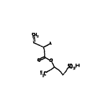 C=CC(I)C(=O)OC(CS(=O)(=O)O)C(F)(F)F